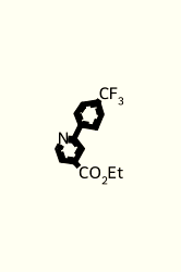 CCOC(=O)c1ccnc(-c2ccc(C(F)(F)F)cc2)c1